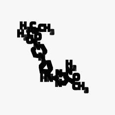 CC(=O)c1cnc(Nc2ccc(N3CCN(C(=O)OC(C)(C)C)CC3)cc2)nc1N